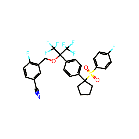 N#Cc1ccc(F)c(COC(c2ccc(C3(S(=O)(=O)c4ccc(F)cc4)CCCC3)cc2)(C(F)(F)F)C(F)(F)F)c1